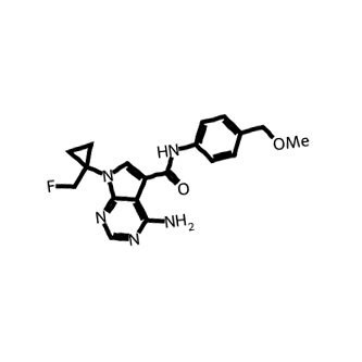 COCc1ccc(NC(=O)c2cn(C3(CF)CC3)c3ncnc(N)c23)cc1